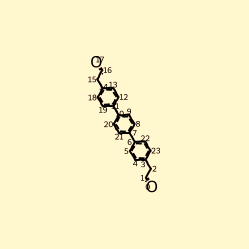 O=[C]Cc1ccc(-c2ccc(-c3ccc(C[C]=O)cc3)cc2)cc1